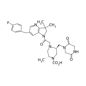 C[C@@H]1CN(CC(=O)N2CC(C)(C)c3ncc(Cc4ccc(F)cc4)cc32)[C@@H](CN2CC(=O)NCC2=O)CN1C(=O)O